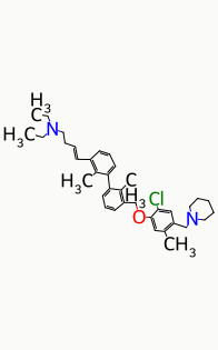 CCN(CC)CC/C=C/c1cccc(-c2cccc(COc3cc(C)c(CN4CCCCC4)cc3Cl)c2C)c1C